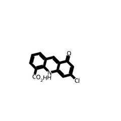 O=C(O)c1cccc2cc3c(=O)cc(Cl)cc-3[nH]c12